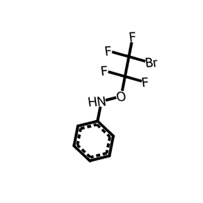 FC(F)(Br)C(F)(F)ONc1ccccc1